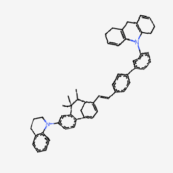 CC1C2CC(=CC=C2/C=C/c2ccc(-c3cccc(N4C5=C(CCC=C5)CC5=C4CCC=C5)c3)cc2)c2ccc(N3CCCc4ccccc43)cc2C1(C)C